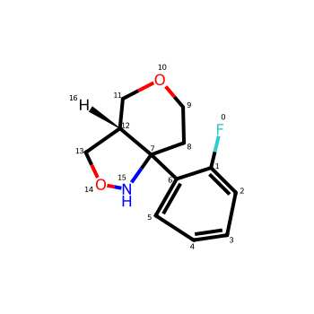 Fc1ccccc1C12CCOC[C@H]1CON2